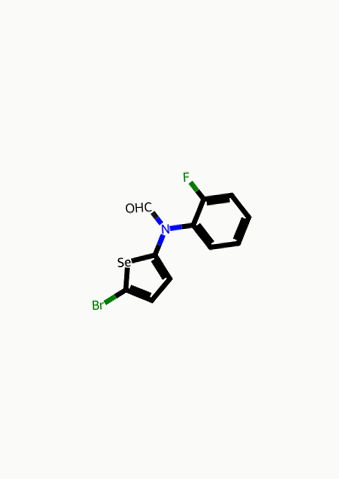 O=CN(c1ccc(Br)[se]1)c1ccccc1F